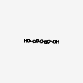 OCCc1ccc(OCc2ccc(COc3ccc(CCO)cc3)cc2)cc1